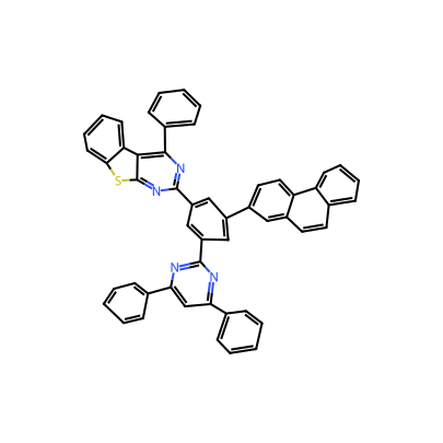 c1ccc(-c2cc(-c3ccccc3)nc(-c3cc(-c4ccc5c(ccc6ccccc65)c4)cc(-c4nc(-c5ccccc5)c5c(n4)sc4ccccc45)c3)n2)cc1